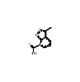 Cc1nnc2n(C(=O)O)cccc1-2